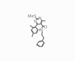 CSc1nc(C)c(C(=O)NCCCc2ccccc2)c(-c2ccc(C)cc2C)n1